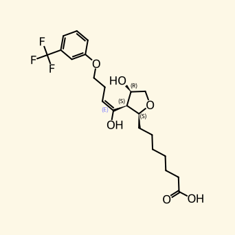 O=C(O)CCCCCC[C@@H]1OC[C@H](O)[C@@H]1/C(O)=C\CCOc1cccc(C(F)(F)F)c1